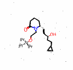 CC(C)[Si](OCCN1C(=O)CCC[C@@H]1/C=C/[C@@H](O)CCC1CC1)(C(C)C)C(C)C